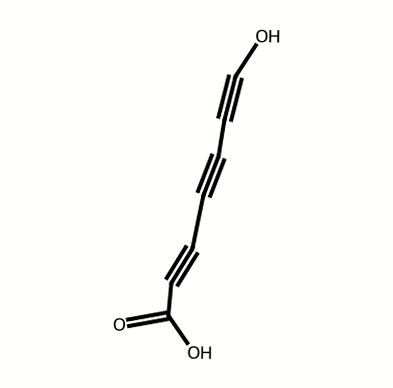 O=C(O)C#CC#CC#CO